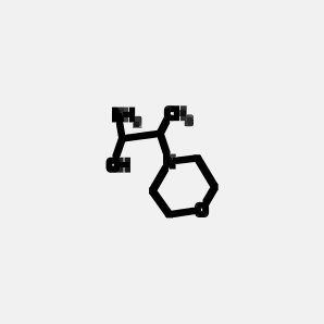 CC(C(N)O)N1CCOCC1